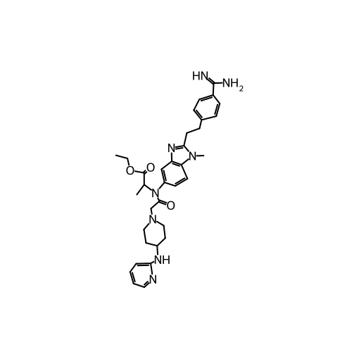 CCOC(=O)C(C)N(C(=O)CN1CCC(Nc2ccccn2)CC1)c1ccc2c(c1)nc(CCc1ccc(C(=N)N)cc1)n2C